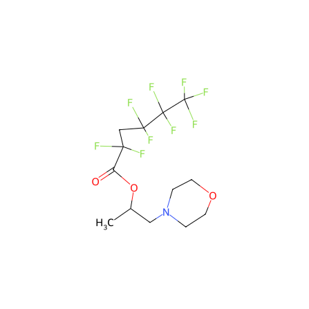 CC(CN1CCOCC1)OC(=O)C(F)(F)CC(F)(F)C(F)(F)C(F)(F)F